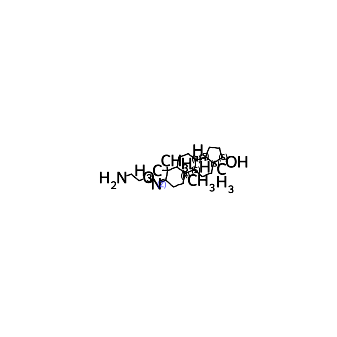 CC1(C)/C(=N\OCCN)CC[C@@]2(C)C1CC[C@H]1[C@@H]3CC[C@H](O)[C@@]3(C)CC[C@@H]12